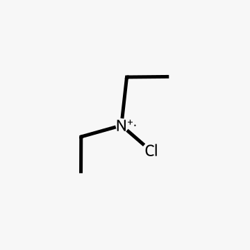 CC[N+](Cl)CC